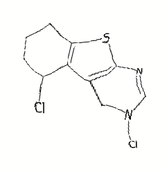 ClC1CCCc2sc3c(c21)CN(Cl)C=N3